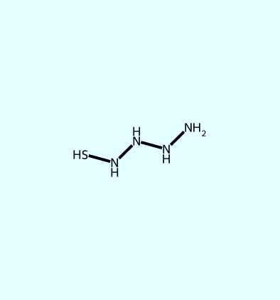 NNNNS